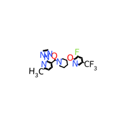 Cc1ccc(C(=O)N2CCCC(Oc3ncc(C(F)(F)F)cc3F)C2)c(-n2nccn2)n1